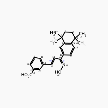 CC1(C)CCC(C)(C)c2cc(C(/C=C/c3cccc(C(=O)O)c3)=N/O)ccc21